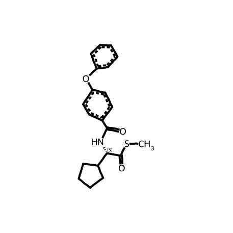 CSC(=O)[C@@H](NC(=O)c1ccc(Oc2ccccc2)cc1)C1CCCC1